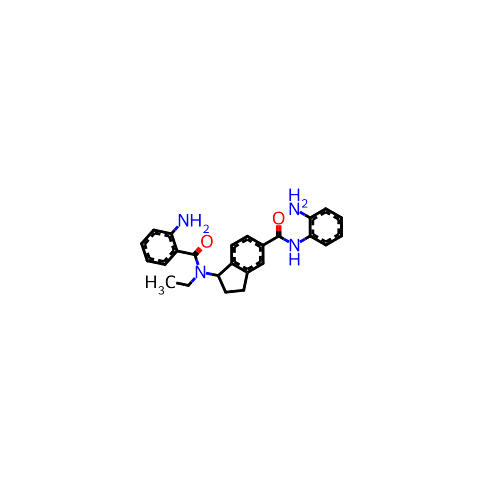 CCN(C(=O)c1ccccc1N)C1CCc2cc(C(=O)Nc3ccccc3N)ccc21